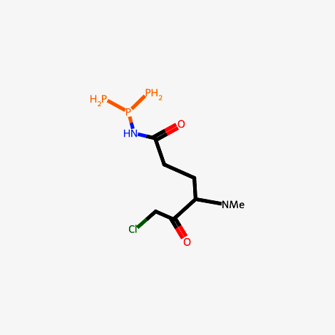 CNC(CCC(=O)NP(P)P)C(=O)CCl